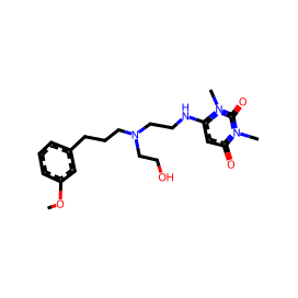 COc1cccc(CCCN(CCO)CCNc2cc(=O)n(C)c(=O)n2C)c1